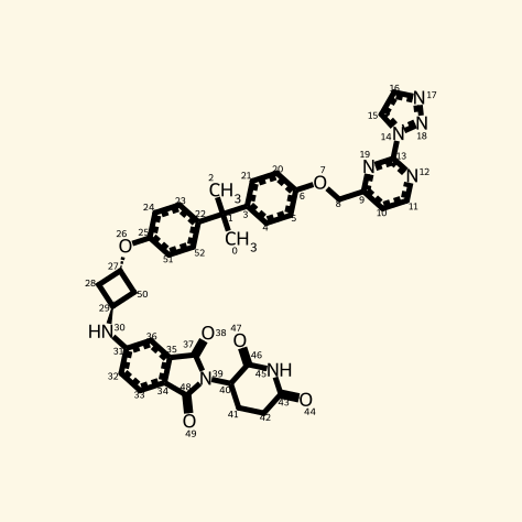 CC(C)(c1ccc(OCc2ccnc(-n3ccnn3)n2)cc1)c1ccc(O[C@H]2C[C@H](Nc3ccc4c(c3)C(=O)N(C3CCC(=O)NC3=O)C4=O)C2)cc1